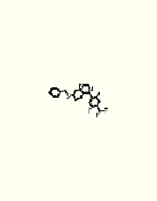 Cc1cc(C(F)F)c(F)cc1-c1ncnc2cc(SCc3ccccc3)ccc12